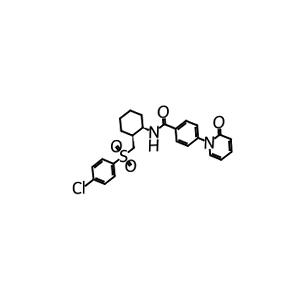 O=C(N[C@@H]1CCCC[C@@H]1CS(=O)(=O)c1ccc(Cl)cc1)c1ccc(-n2ccccc2=O)cc1